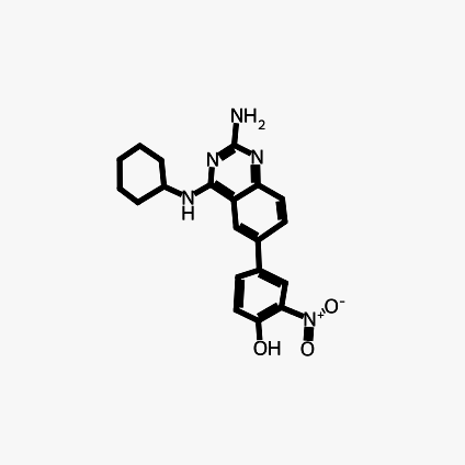 Nc1nc(NC2CCCCC2)c2cc(-c3ccc(O)c([N+](=O)[O-])c3)ccc2n1